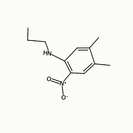 CCCNc1cc(C)c(C)cc1[N+](=O)[O-]